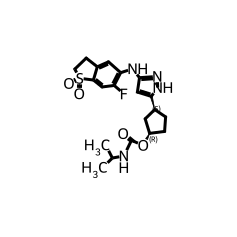 CC(C)NC(=O)O[C@@H]1CC[C@H](c2cc(Nc3cc4c(cc3F)S(=O)(=O)CC4)n[nH]2)C1